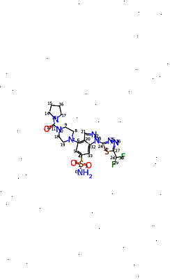 NS(=O)(=O)c1cc(N2CCN(C(=O)N3CCCC3)CC2)c2cnn(-c3nnc(C(F)F)s3)c2c1